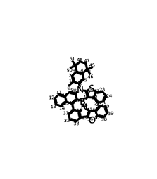 Cc1cc2c(cc1N1c3cc4ccccc4c4c3B(c3c1sc1ccccc31)n1c3c-4cccc3c3oc4ccccc4c31)C(C)(C)CCC2(C)C